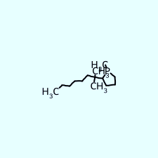 CCCCCCC(C)(C)C1CCCP1C